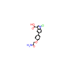 NC(=O)COc1ccc(-c2ccc3c(c2)c(C(=O)O)cn3Cl)cc1